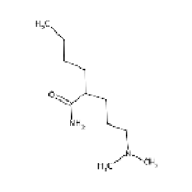 [CH2]CCCC(CCCN(C)C)C(N)=O